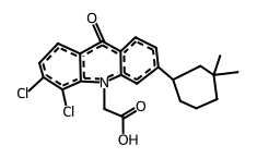 CC1(C)CCCC(c2ccc3c(=O)c4ccc(Cl)c(Cl)c4n(CC(=O)O)c3c2)C1